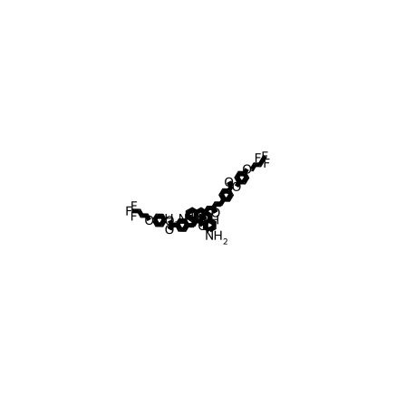 Nc1ccc(CC(CC(=O)C=Cc2ccc(C(=O)Oc3ccc(OCCCC(F)(F)F)cc3)cc2)(Cc2ccc(N)cc2)C(O)(O)C(=O)C=Cc2ccc(C(=O)Oc3ccc(OCCCC(F)(F)F)cc3)cc2)cc1